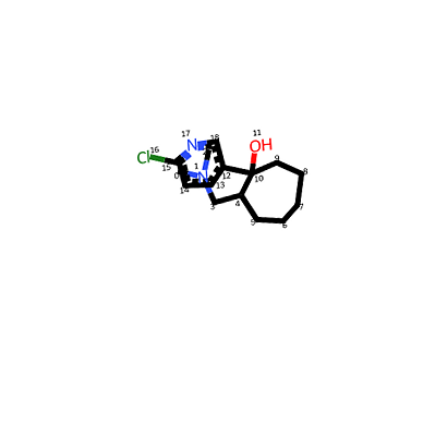 CN(C)CC1CCCCCC1(O)c1ccc(Cl)nc1